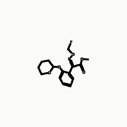 COC(=O)C(=NOCF)c1ccccc1OC1CCCCO1